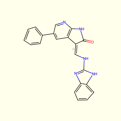 O=C1Nc2ncc(-c3ccccc3)cc2/C1=C/Nc1nc2ccccc2[nH]1